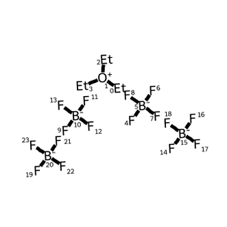 CC[O+](CC)CC.F[B-](F)(F)F.F[B-](F)(F)F.F[B-](F)(F)F.F[B-](F)(F)F